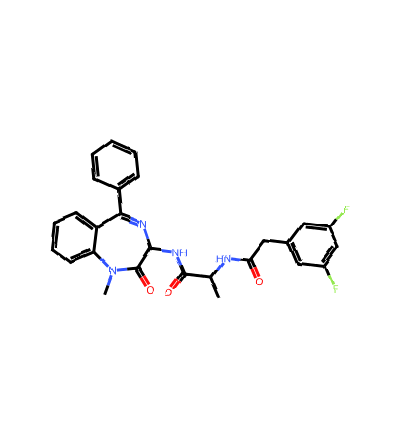 CC(NC(=O)Cc1cc(F)cc(F)c1)C(=O)NC1N=C(c2ccccc2)c2ccccc2N(C)C1=O